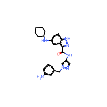 Nc1cccc(Cn2cc(NC(=O)c3n[nH]c4ccc(NC5CCCCC5)cc34)cn2)c1